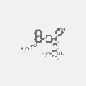 COCOc1cc(N2CCc3c(nc(O[C@H](C)CN(C)C)nc3N3CCNCC3)C2)c2ccccc2c1